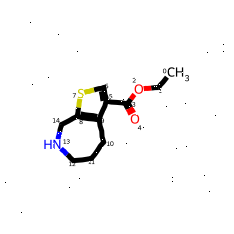 CCOC(=O)c1csc2c1CCCNC2